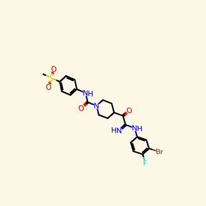 CS(=O)(=O)c1ccc(NC(=O)N2CCC(C(=O)C(=N)Nc3ccc(F)c(Br)c3)CC2)cc1